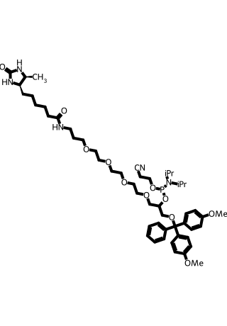 COc1ccc(C(OCC(COCCOCCOCCOCCCNC(=O)CCCCC[C@H]2NC(=O)N[C@H]2C)OP(OCCC#N)N(C(C)C)C(C)C)(c2ccccc2)c2ccc(OC)cc2)cc1